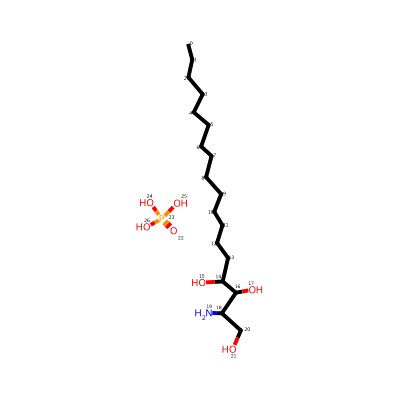 CCCCCCCCCCCCCCC(O)C(O)C(N)CO.O=P(O)(O)O